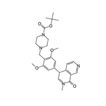 COc1cc(C2C=[N+](C)C(=O)c3cnccc32)cc(OC)c1CN1CCN(C(=O)OC(C)(C)C)CC1